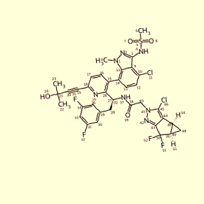 Cn1nc(NS(C)(=O)=O)c2c(Cl)ccc(-c3ccc(C#CC(C)(C)O)nc3[C@H](Cc3cc(F)cc(F)c3)NC(=O)Cn3nc4c(c3Cl)[C@H]3C[C@H]3C4(F)F)c21